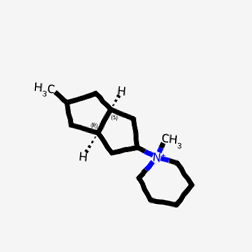 CC1C[C@@H]2CC([N+]3(C)CCCCC3)C[C@@H]2C1